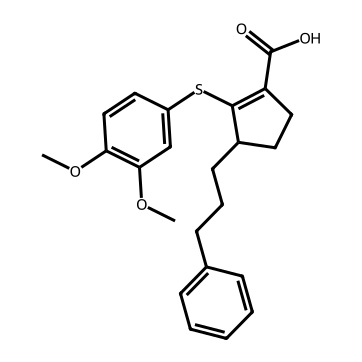 COc1ccc(SC2=C(C(=O)O)CCC2CCCc2ccccc2)cc1OC